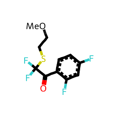 COCCSC(F)(F)C(=O)c1ccc(F)cc1F